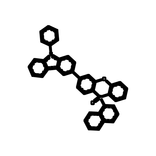 O=P1(c2cccc3ccccc23)c2ccccc2Oc2cc(-c3ccc4c(c3)c3ccccc3n4-c3ccccc3)ccc21